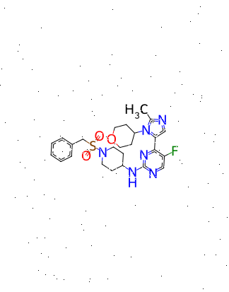 Cc1ncc(-c2nc(NC3CCN(S(=O)(=O)Cc4ccccc4)CC3)ncc2F)n1C1CCOCC1